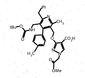 COC(=O)Cn1cc(C(=O)O)c(OCc2c(C)nc(CC(C)C)c(CNC(=O)OC(C)(C)C)c2-c2ccc(C)cc2)n1